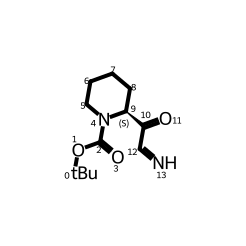 CC(C)(C)OC(=O)N1CCCC[C@H]1C(=O)C=N